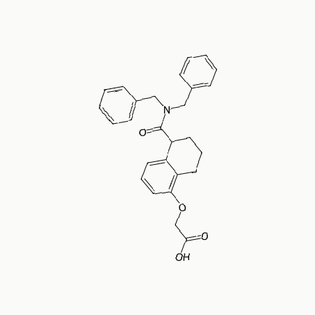 O=C(O)COc1cccc2c1CCCC2C(=O)N(Cc1ccccc1)Cc1ccccc1